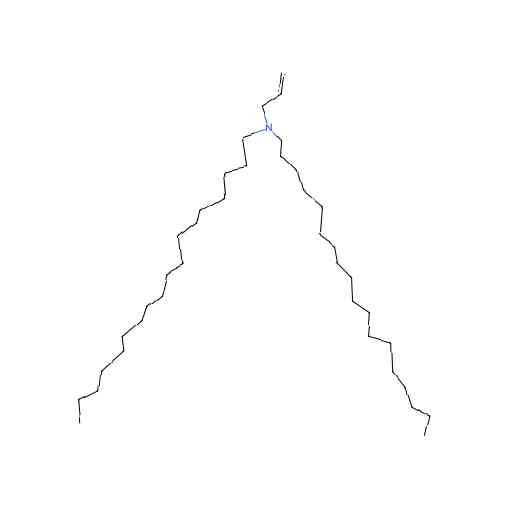 C=CCN(CCCCCCCCCCCCCCCCCC)CCCCCCCCCCCCCCCCCC